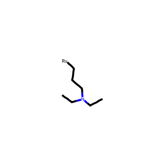 CCN(CC)CC[CH2][Ru]